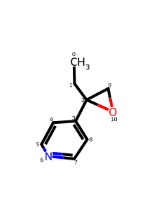 CCC1(c2ccncc2)CO1